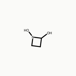 OC1CCN1O